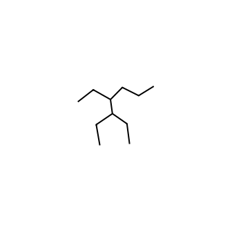 CCCC(CC)C(CC)CC